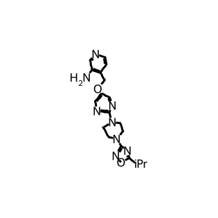 CC(C)c1nc(N2CCN(c3ncc(OCc4ccncc4N)cn3)CC2)no1